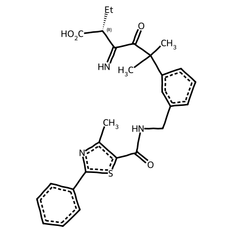 CC[C@H](C(=N)C(=O)C(C)(C)c1cccc(CNC(=O)c2sc(-c3ccccc3)nc2C)c1)C(=O)O